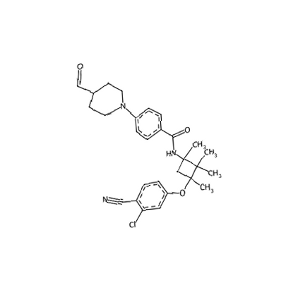 CC1(NC(=O)c2ccc(N3CCC(C=O)CC3)cc2)CC(C)(Oc2ccc(C#N)c(Cl)c2)C1(C)C